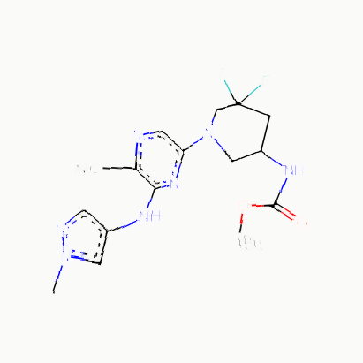 Cn1cc(Nc2nc(N3CC(NC(=O)OC(C)(C)C)CC(F)(F)C3)cnc2C#N)cn1